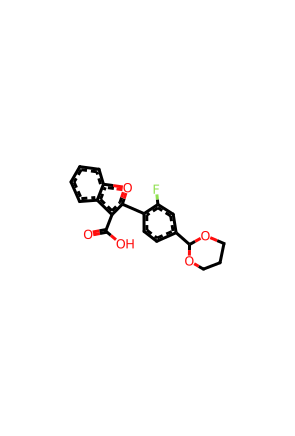 O=C(O)c1c(-c2ccc(C3OCCCO3)cc2F)oc2ccccc12